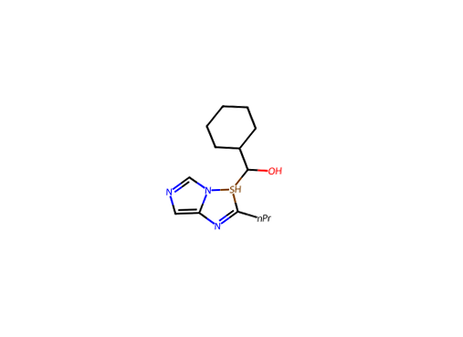 CCCC1=Nc2cncn2[SH]1C(O)C1CCCCC1